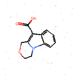 O=C(O)c1c2n(c3ccccc13)CCOC2